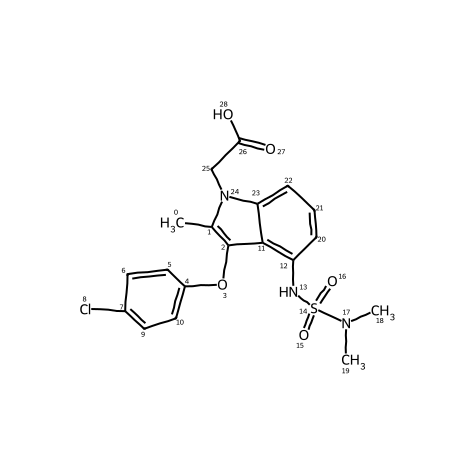 Cc1c(Oc2ccc(Cl)cc2)c2c(NS(=O)(=O)N(C)C)cccc2n1CC(=O)O